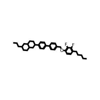 CCCCCc1ccc(OCc2ccc(-c3ccc(C4CCC5CC(CCC)CCC5C4)cc3)cc2)c(F)c1F